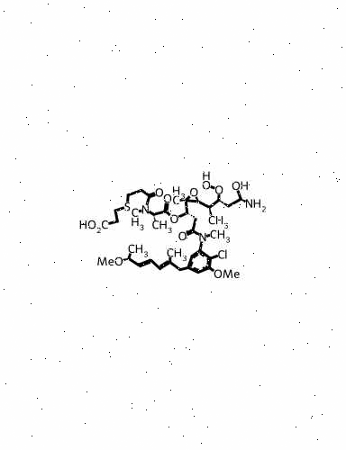 COc1cc(C/C(C)=C/C=C/[C@H](C)OC)cc(N(C)C(=O)C[C@H](OC(=O)[C@H](C)N(C)C(=O)CCSCCC(=O)O)[C@]2(C)O[C@H]2[C@H](C)[C@H](C[C@H](N)O)OO)c1Cl